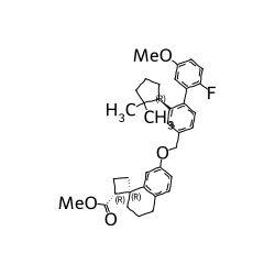 COC(=O)[C@@H]1CC[C@]12CCCc1ccc(OCc3ccc(-c4cc(OC)ccc4F)c([C@@H]4CCCC4(C)C)c3)cc12